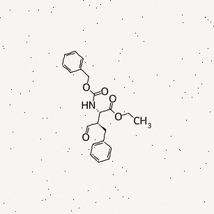 CCOC(=O)[C@@H](NC(=O)OCc1ccccc1)[C@H](C=O)Cc1ccccc1